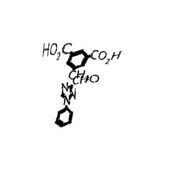 Cc1cc(C(=O)O)cc(C(=O)O)c1.O=Cc1ncn(-c2ccccc2)n1